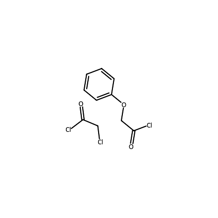 O=C(Cl)CCl.O=C(Cl)COc1ccccc1